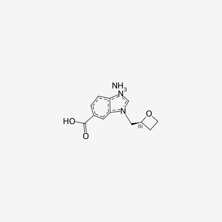 N.O=C(O)c1ccc2ncn(C[C@@H]3CCO3)c2c1